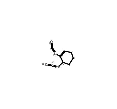 O=C=NC1=CCCCC1N=C=O